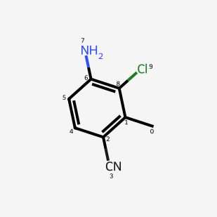 Cc1c(C#N)ccc(N)c1Cl